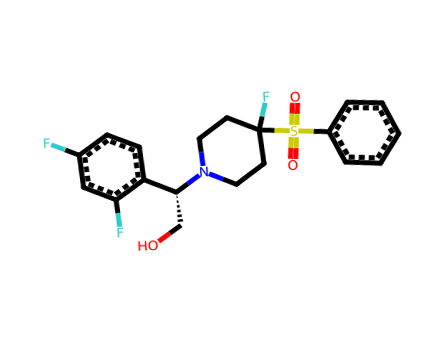 O=S(=O)(c1ccccc1)C1(F)CCN([C@H](CO)c2ccc(F)cc2F)CC1